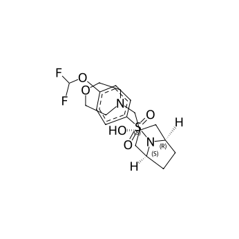 O=S(=O)(c1ccc(OC(F)F)cc1)N1[C@@H]2CC[C@H]1C[C@@](O)(CN1CCOCC1)C2